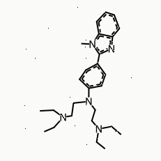 CCN(CC)CCN(CCN(CC)CC)c1ccc(-c2nc3ccccc3n2C)cc1